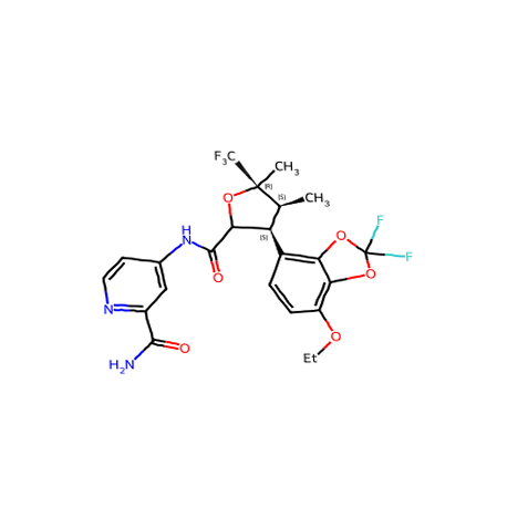 CCOc1ccc([C@H]2C(C(=O)Nc3ccnc(C(N)=O)c3)O[C@@](C)(C(F)(F)F)[C@H]2C)c2c1OC(F)(F)O2